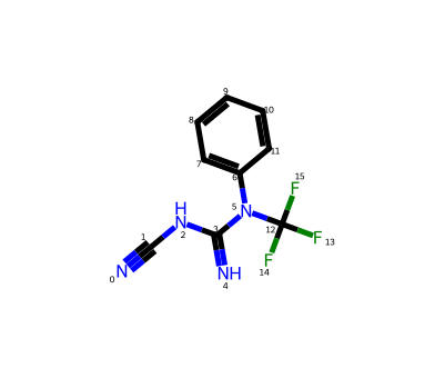 N#CNC(=N)N(c1ccccc1)C(F)(F)F